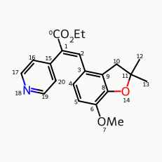 CCOC(=O)C(=Cc1ccc(OC)c2c1CC(C)(C)O2)c1ccncc1